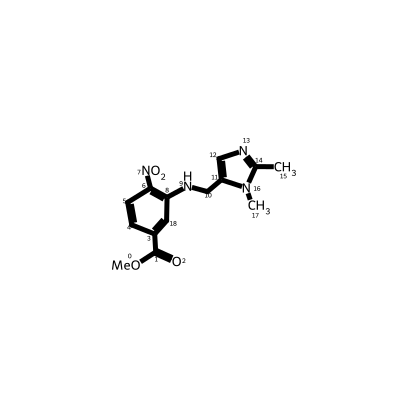 COC(=O)c1ccc([N+](=O)[O-])c(NCc2cnc(C)n2C)c1